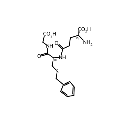 N[C@@H](CCC(=O)N[C@@H](CSCc1ccccc1)C(=O)NCC(=O)O)C(=O)O